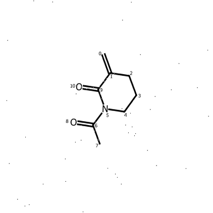 C=C1CCCN(C(C)=O)C1=O